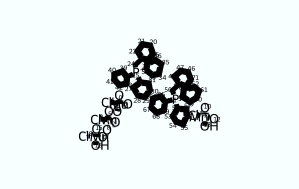 [O]=[Mn](=[O])([O-])[Cl].[O]=[Mn](=[O])([O-])[Cl].[O]=[Mn](=[O])([OH])[Cl].[O]=[Mn](=[O])([OH])[Cl].c1ccc(C[P+](c2ccccc2)(c2ccccc2)c2ccccc2)cc1.c1ccc(C[P+](c2ccccc2)(c2ccccc2)c2ccccc2)cc1